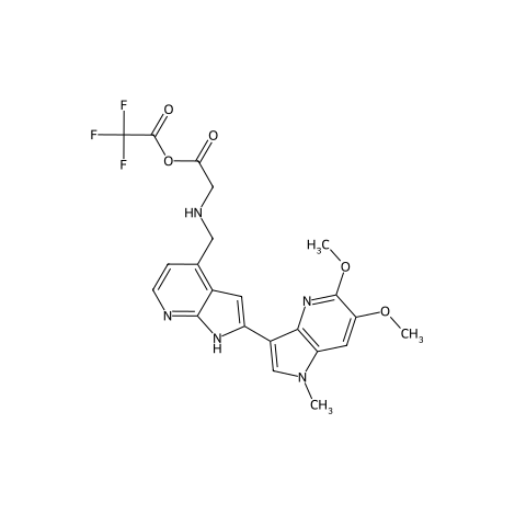 COc1cc2c(nc1OC)c(-c1cc3c(CNCC(=O)OC(=O)C(F)(F)F)ccnc3[nH]1)cn2C